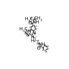 Cc1nnc2c(NCCCCNC(=O)c3ccccc3)nc3ccc(C(=O)NC(C)C)cc3n12